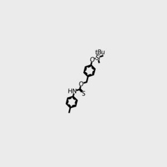 Cc1ccc(NC(=S)OCc2ccc(O[Si](C)(C)C(C)(C)C)cc2)cc1